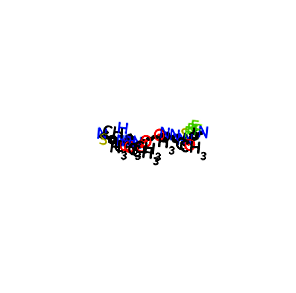 Cc1ncsc1-c1ccc([C@H](C)NC(=O)C2CCCN2C(=O)C(NC(=O)COCCCCOc2ccc(-c3ccc(N4C(=S)N(c5ccc(C#N)c(C(F)(F)F)c5F)C(=O)C4(C)C)cn3)cn2)C(C)(C)C)cc1